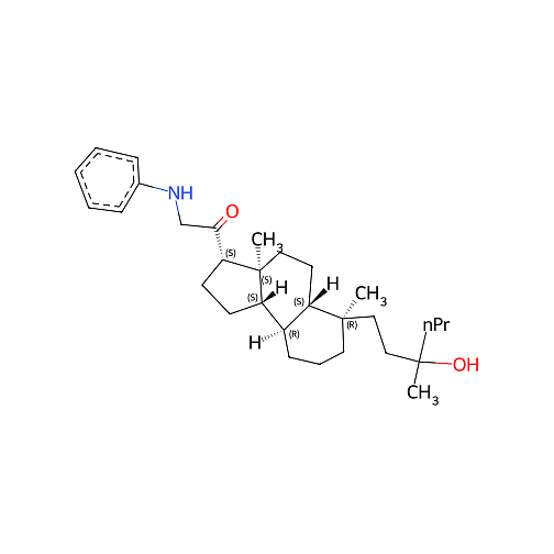 CCCC(C)(O)CC[C@@]1(C)CCC[C@@H]2[C@@H]1CC[C@]1(C)[C@@H](C(=O)CNc3ccccc3)CC[C@@H]21